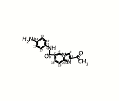 CC(=O)c1cn2cc(C(=O)Nc3ccc(N)cc3)ccc2n1